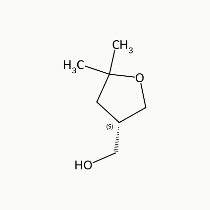 CC1(C)C[C@@H](CO)CO1